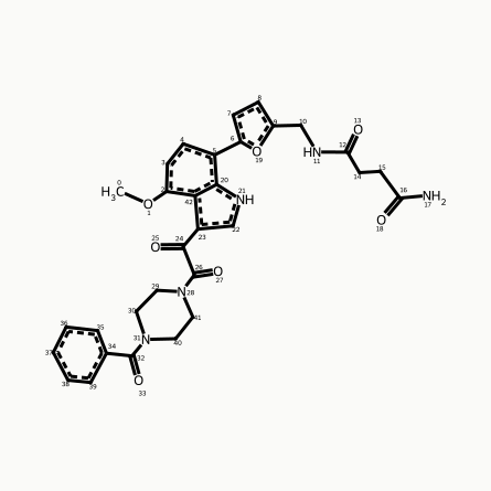 COc1ccc(-c2ccc(CNC(=O)CCC(N)=O)o2)c2[nH]cc(C(=O)C(=O)N3CCN(C(=O)c4ccccc4)CC3)c12